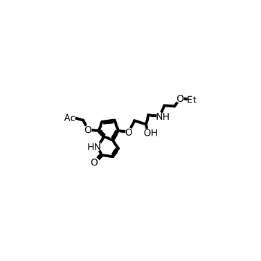 CCOCCNCC(O)COc1ccc(OCC(C)=O)c2[nH]c(=O)ccc12